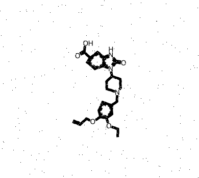 C=CCOc1ccc(CN2CCC(n3c(=O)[nH]c4cc(C(=O)O)ccc43)CC2)cc1OCC